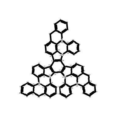 c1ccc2c(c1)Cc1ccc3c4c5c6cccc7c6n(c5c5c(c6ccc8c9c6n5-c5ccccc5B9c5ccccc5C8)c4n4c3c1B2c1ccccc1-4)-c1cccc2c1B7c1ccccc1C2